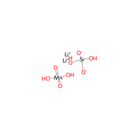 [Li+].[Li+].[O-][Si]([O-])(O)O.[O]=[Mn](=[O])([OH])[OH]